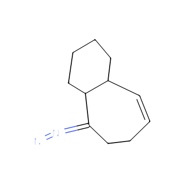 [N-]=[N+]=C1CCC=CC2CCCCC12